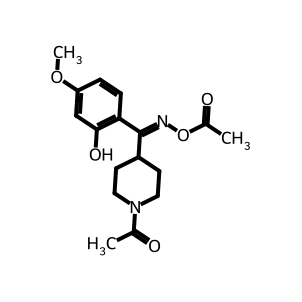 COc1ccc(C(=NOC(C)=O)C2CCN(C(C)=O)CC2)c(O)c1